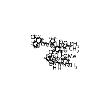 CC(C)=C1OC(=O)N(c2cc(OC3CCCC3)c(Cl)cc2F)C1=O.COc1nc(C)nc(NC(=O)NS(=O)(=O)c2ccsc2C(=O)O)n1.O=C(O)COc1ccc(Cl)c2cccnc12